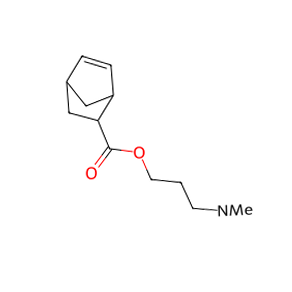 CNCCCOC(=O)C1CC2C=CC1C2